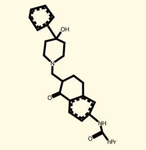 CCCC(=O)Nc1ccc2c(c1)CCC(CN1CCC(O)(c3ccccc3)CC1)C2=O